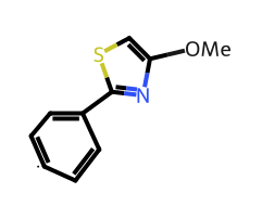 COc1csc(-c2cc[c]cc2)n1